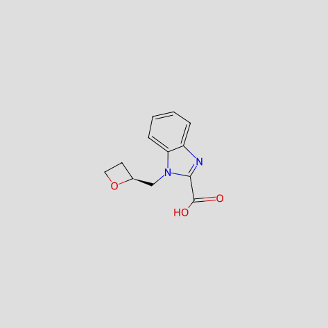 O=C(O)c1nc2ccccc2n1C[C@@H]1CCO1